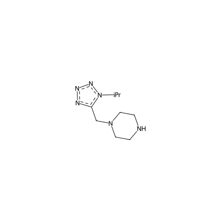 CC(C)n1nnnc1CN1CCNCC1